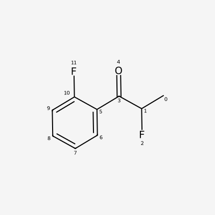 CC(F)C(=O)c1ccccc1F